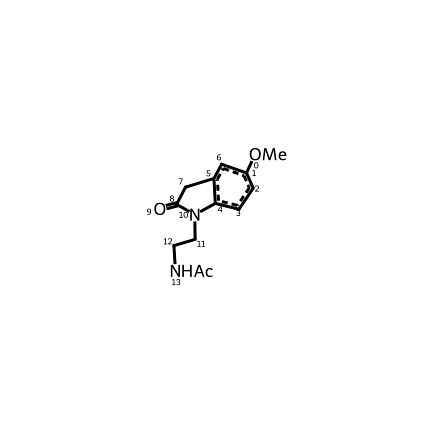 COc1ccc2c(c1)CC(=O)N2CCNC(C)=O